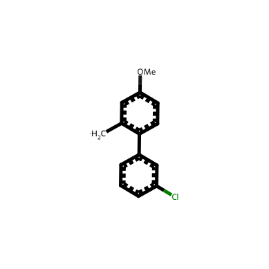 [CH2]c1cc(OC)ccc1-c1cccc(Cl)c1